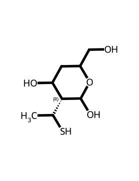 CC(S)[C@@H]1C(O)CC(CO)OC1O